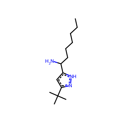 CCCCCCC(N)c1cc(C(C)(C)C)n[nH]1